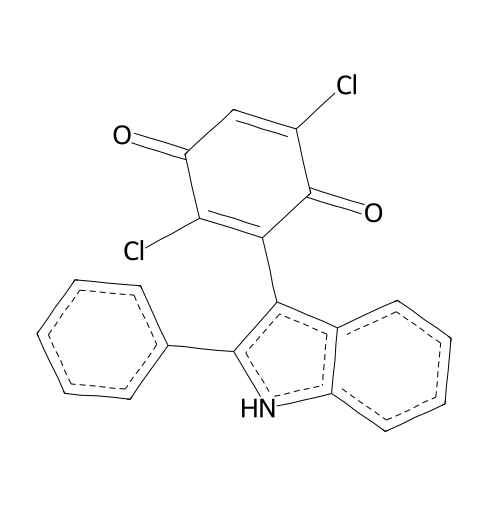 O=C1C=C(Cl)C(=O)C(c2c(-c3ccccc3)[nH]c3ccccc23)=C1Cl